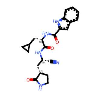 N#C[C@H](C[C@@H]1CCNC1=O)NC(=O)[C@H](CC1CC1)NC(=O)c1cc2ccccc2[nH]1